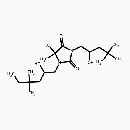 CCC(C)(C)CC(O)CN1C(=O)N(CC(O)CC(C)(C)C)C(=O)C1(C)C